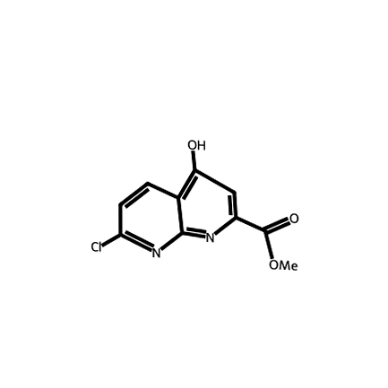 COC(=O)c1cc(O)c2ccc(Cl)nc2n1